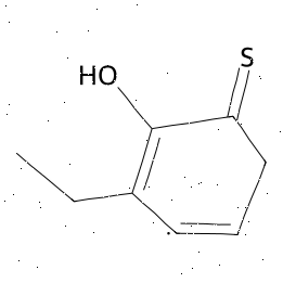 CCC1=C(O)C(=S)CC=[C]1